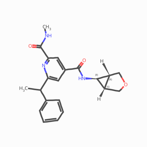 CNC(=O)c1cc(C(=O)N[C@H]2[C@@H]3COC[C@@H]32)cc(C(C)c2ccccc2)n1